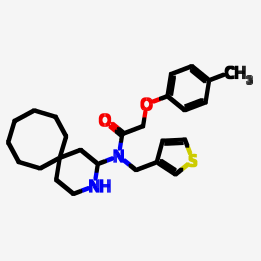 Cc1ccc(OCC(=O)N(Cc2ccsc2)C2CC3(CCCCCCC3)CCN2)cc1